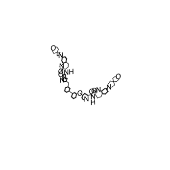 CN1C(=O)[C@@H](NC(=O)n2cc(Cc3cccc(-c4cccc(Oc5ccnc(C(=O)N[C@@H]6CCc7ccc(N8CCC9(CCOCC9)CC8)cc7N(C)C6=O)c5)c4)c3)cn2)CCc2ccc(N3CC4(CCOCC4)C3)cc21